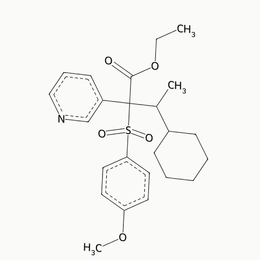 CCOC(=O)C(c1cccnc1)(C(C)C1CCCCC1)S(=O)(=O)c1ccc(OC)cc1